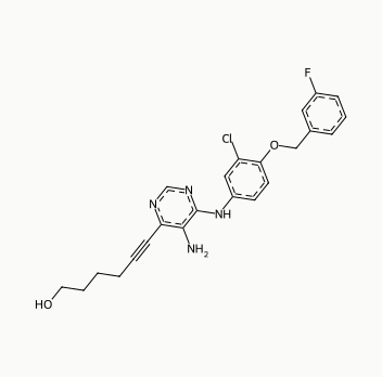 Nc1c(C#CCCCCO)ncnc1Nc1ccc(OCc2cccc(F)c2)c(Cl)c1